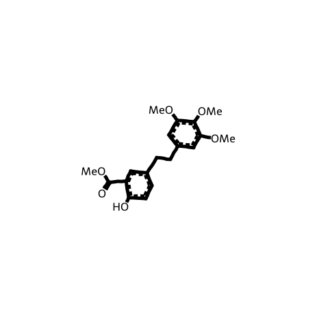 COC(=O)c1cc(CCc2cc(OC)c(OC)c(OC)c2)ccc1O